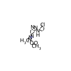 CC(=O)OCN(C)/N=N/c1ccc2ncnc(Nc3cccc(Cl)c3)c2c1